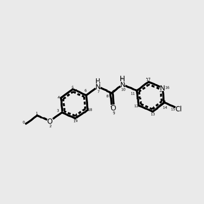 CCOc1ccc(NC(=O)Nc2ccc(Cl)nc2)cc1